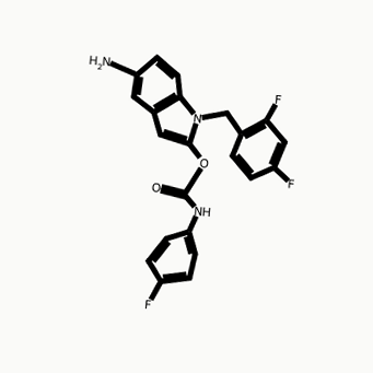 Nc1ccc2c(c1)cc(OC(=O)Nc1ccc(F)cc1)n2Cc1ccc(F)cc1F